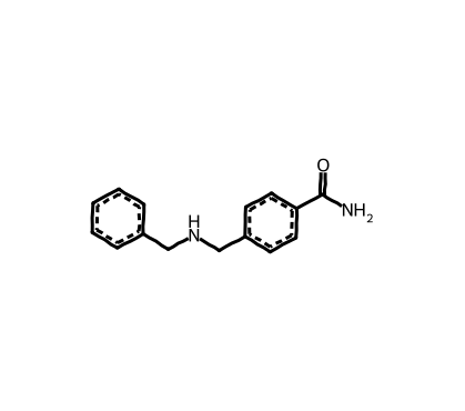 NC(=O)c1ccc(CNCc2ccccc2)cc1